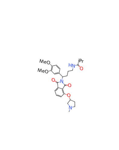 COc1ccc(C(CCCNC(=O)C(C)C)N2C(=O)c3cccc(OC4CCN(C)C4)c3C2=O)cc1OC